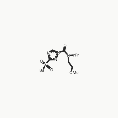 CCCN(CCOC)C(=O)n1cnc(S(=O)(=O)C(C)CC)n1